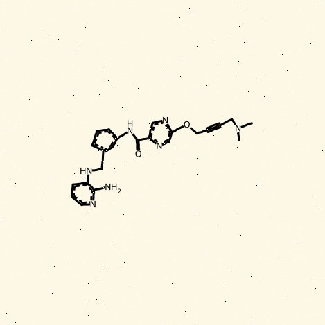 CN(C)CC#CCOc1cnc(C(=O)Nc2cccc(CNc3cccnc3N)c2)cn1